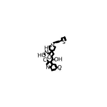 COc1ccc2ncc(Cl)c([C@H](O)CCC3(C(=O)NO)CCN(CC#Cc4cccs4)CC3)c2c1